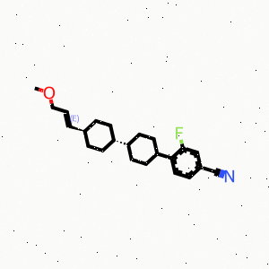 COC/C=C/[C@H]1CC[C@H](C2CCC(c3ccc(C#N)cc3F)CC2)CC1